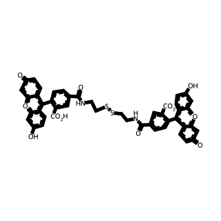 O=C(NCCSSCCNC(=O)c1ccc(-c2c3ccc(=O)cc-3oc3cc(O)ccc23)c(C(=O)O)c1)c1ccc(-c2c3ccc(=O)cc-3oc3cc(O)ccc23)c(C(=O)O)c1